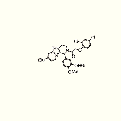 COc1ccc(C2c3c(nc4cc(C(C)(C)C)ccn34)CCN2C(=O)COc2ccc(Cl)cc2Cl)cc1OC